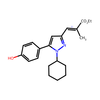 CCOC(=O)/C(C)=C/c1cc(-c2ccc(O)cc2)n(C2CCCCC2)n1